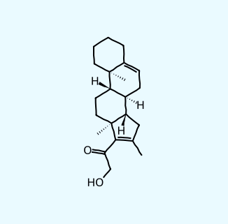 CC1=C(C(=O)CO)[C@@]2(C)CC[C@H]3[C@@H](CC=C4CCCC[C@@]43C)[C@@H]2C1